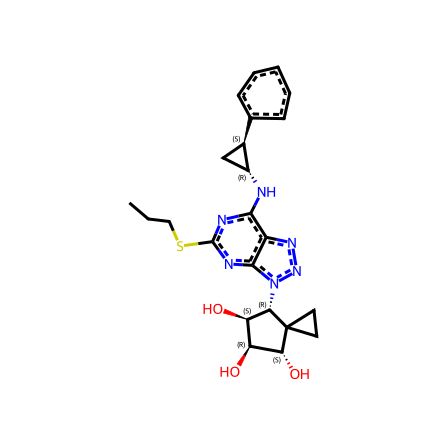 CCCSc1nc(N[C@@H]2C[C@H]2c2ccccc2)c2nnn([C@H]3[C@H](O)[C@H](O)[C@@H](O)C34CC4)c2n1